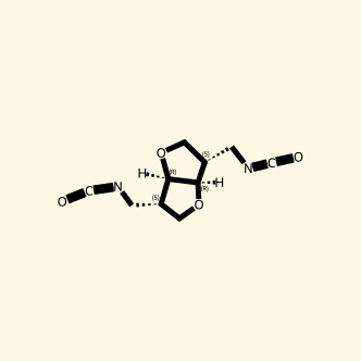 O=C=NC[C@H]1CO[C@@H]2[C@@H](CN=C=O)CO[C@H]12